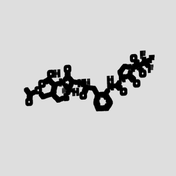 CC(=O)OCC1=C(C(=O)O)N2C(=O)C(NC(=O)Cc3ccccc3NC(=O)N3CCN(S(=O)(=O)C(F)(F)F)C3=O)[C@H]2SC1